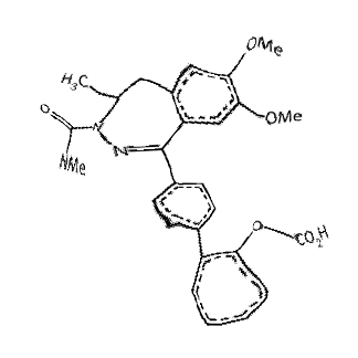 CNC(=O)N1N=C(c2ccc(-c3ccccc3OC(=O)O)cc2)c2cc(OC)c(OC)cc2CC1C